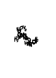 Cc1cc([C@H]2CN(c3ncc(Oc4c[nH]nc4C4=CCC(F)(F)CC4)cn3)C[C@@H]2N)c(F)cc1F